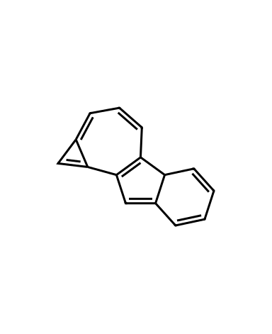 C1=CC2=CC3=C(C=CC=C4C=C43)C2C=C1